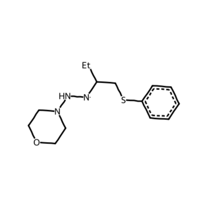 CCC(CSc1ccccc1)[N]NN1CCOCC1